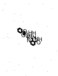 O=C1NNC2NC(CNS(=O)(=O)c3ccccc3)=Nc3cccc1c32